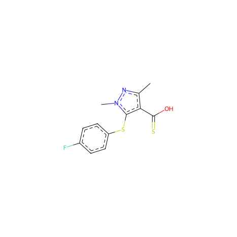 Cc1nn(C)c(Sc2ccc(F)cc2)c1C(O)=S